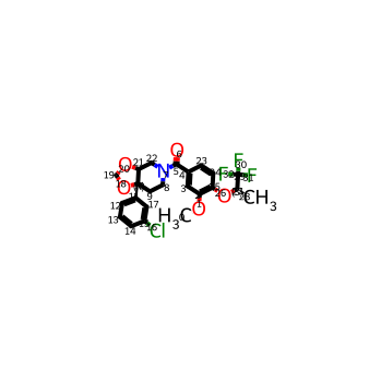 COc1cc(C(=O)N2CC[C@]3(c4cccc(Cl)c4)OCOC3C2)ccc1O[C@@H](C)C(F)(F)F